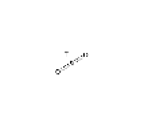 O=[Si]=O.[Ti]